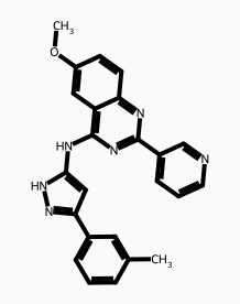 COc1ccc2nc(-c3cccnc3)nc(Nc3cc(-c4cccc(C)c4)n[nH]3)c2c1